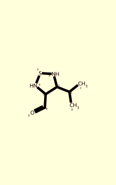 CC(C)C1NSNC1C=O